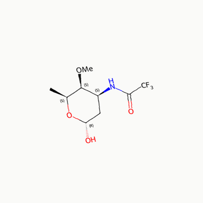 CO[C@H]1[C@@H](NC(=O)C(F)(F)F)C[C@H](O)O[C@H]1C